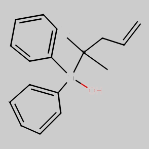 C=CCC(C)(C)[Si](O)(c1ccccc1)c1ccccc1